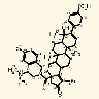 CC(C)C1=C2C3CCC4C(C)(CCC5C(C)(C)C(c6ccc(C(=O)O)cc6)=CCC54C)C3CCC2(C(=O)N(CCN(C)C)Cc2ccc(Cl)cc2)CC1=O